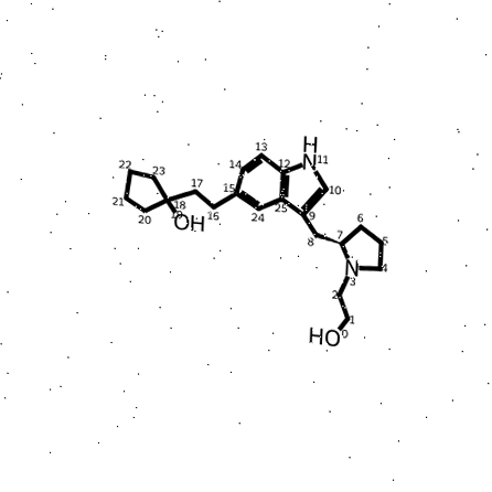 OCCN1CCC[C@@H]1Cc1c[nH]c2ccc(CCC3(O)CCCC3)cc12